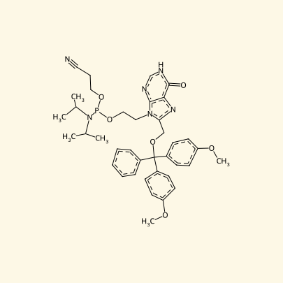 COc1ccc(C(OCc2nc3c(=O)[nH]cnc3n2CCOP(OCCC#N)N(C(C)C)C(C)C)(c2ccccc2)c2ccc(OC)cc2)cc1